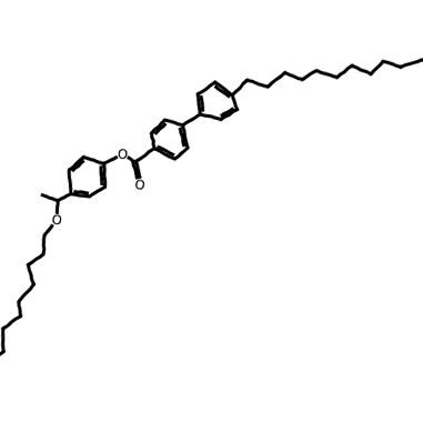 CCCCCCCCCCCCc1ccc(-c2ccc(C(=O)Oc3ccc(C(C)OCCCCCCCCC)cc3)cc2)cc1